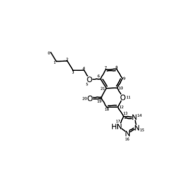 CCCCCOc1cccc2oc(-c3nnn[nH]3)cc(=O)c12